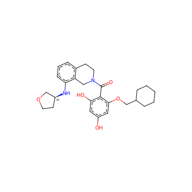 O=C(c1c(O)cc(O)cc1OCC1CCCCC1)N1CCc2cccc(N[C@H]3CCOC3)c2C1